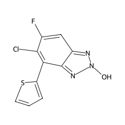 On1nc2cc(F)c(Cl)c(-c3cccs3)c2n1